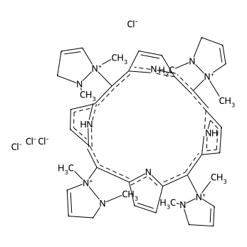 CN1CC=C[N+]1(C)c1c2nc(c([N+]3(C)C=CCN3C)c3ccc([nH]3)c([N+]3(C)C=CCN3C)c3nc(c([N+]4(C)C=CCN4C)c4ccc1[nH]4)C=C3)C=C2.[Cl-].[Cl-].[Cl-].[Cl-]